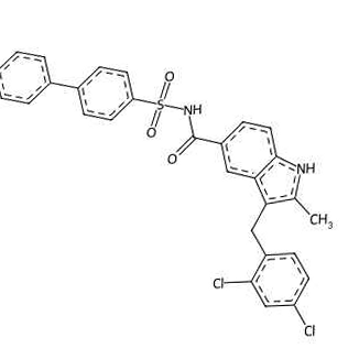 Cc1[nH]c2ccc(C(=O)NS(=O)(=O)c3ccc(-c4ccccc4)cc3)cc2c1Cc1ccc(Cl)cc1Cl